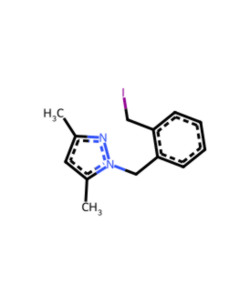 Cc1cc(C)n(Cc2ccccc2CI)n1